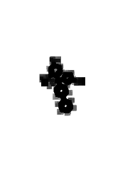 CC(C1=CCC(S)C=C1S)(c1ccc(-c2ccccc2)cc1)C1C=CC(S)=C1